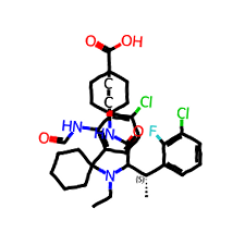 CCN(C(C(=O)NC12CCC(C(=O)O)(CC1)CC2)[C@@H](C)c1cccc(Cl)c1F)C1(c2ccc(Cl)cc2NC=O)CCCCC1